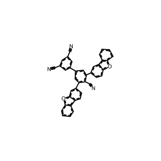 N#Cc1cc(C#N)cc(-c2cc(-c3ccc4c(c3)oc3ccccc34)c(C#N)c(-c3ccc4oc5ccccc5c4c3)c2)c1